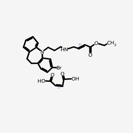 CCOC(=O)/C=C/CNCCCN1c2ccccc2CCc2ccc(Br)cc21.O=C(O)/C=C\C(=O)O